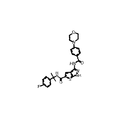 CC(C)(NC(=O)c1cc2c(NC(=O)c3ccc(N4CCOCC4)cc3)n[nH]c2s1)c1ccc(F)cc1